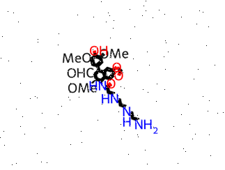 COC[C@@H]1[C@H](NC(=O)CCNCCCNCCCN)c2cc3c(cc2C(c2cc(OC)c(O)c(OC)c2)[C@H]1C=O)OCO3